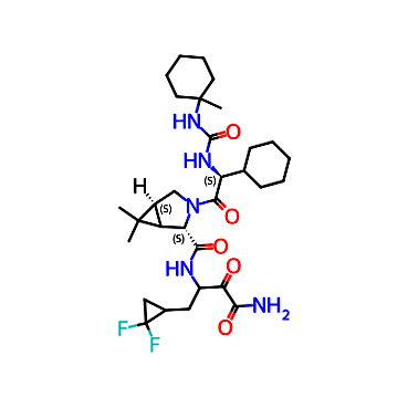 CC1(NC(=O)N[C@H](C(=O)N2C[C@H]3C([C@H]2C(=O)NC(CC2CC2(F)F)C(=O)C(N)=O)C3(C)C)C2CCCCC2)CCCCC1